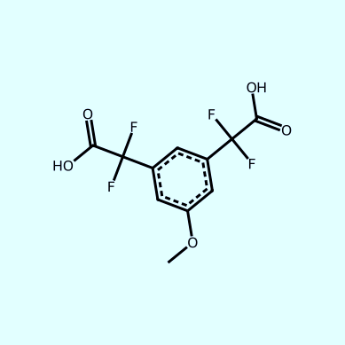 COc1cc(C(F)(F)C(=O)O)cc(C(F)(F)C(=O)O)c1